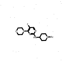 CC(=O)N1CCC(Nc2ncc(F)c(N3CCOCC3)n2)CC1